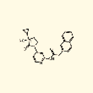 N#C[C@@]1(C2CC2)CCN(c2ccnc(NC(=O)Cc3ccc4ccccc4c3)c2)C1=O